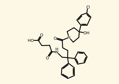 O=C(O)CCC(=O)NCC(CCC(=O)N1CCC(O)(c2ccc(Cl)cc2)CC1)(c1ccccc1)c1ccccc1